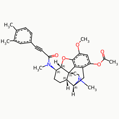 COc1cc(OC(C)=O)c2c3c1O[C@H]1[C@H](N(C)C(=O)C#Cc4ccc(C)c(C)c4)CC[C@H]4[C@@H](C2)N(C)CC[C@@]341